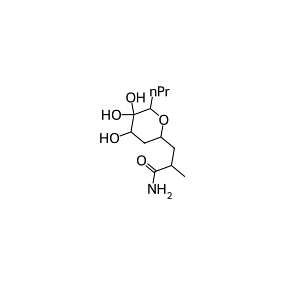 CCCC1OC(CC(C)C(N)=O)CC(O)C1(O)O